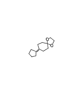 C1CCC(=C2CCC3(CC2)OCCO3)C1